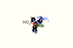 C[C@@H]1CCN(C(=O)[C@H](CC2=CCCN(C(=N)N)C2)NS(=O)(=O)c2ccc3c(c2)CN(C)CC3)[C@@H](C(=O)O)C1.Cl.Cl